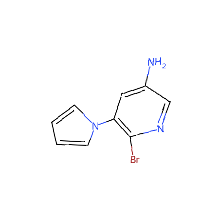 Nc1cnc(Br)c(-n2cccc2)c1